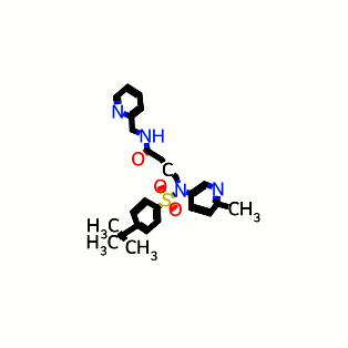 Cc1ccc(N(CCCC(=O)NCc2ccccn2)S(=O)(=O)c2ccc(C(C)(C)C)cc2)cn1